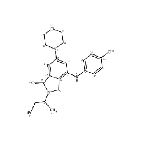 CC(C)CC(C)N1Cc2c(Nc3ccc(Cl)cc3)nc(N3CCOCC3)nc2C1=O